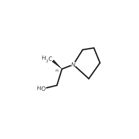 C[C@H](CO)N1CCCC1